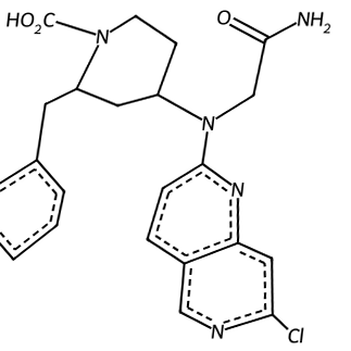 NC(=O)CN(c1ccc2cnc(Cl)cc2n1)C1CCN(C(=O)O)C(Cc2ccccc2)C1